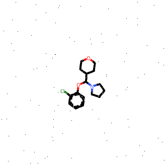 Clc1ccccc1OC(C1CCOCC1)N1CCCC1